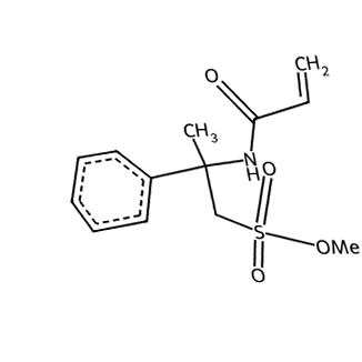 C=CC(=O)NC(C)(CS(=O)(=O)OC)c1ccccc1